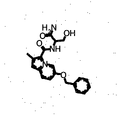 Cc1cc2ccc(OCc3ccccc3)cn2c1C(=O)NC(CO)C(N)=O